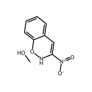 CO.O=[N+]([O-])C1=Cc2ccccc2ON1